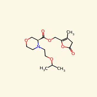 CC1=C(COC(=O)[C@@H]2COCCN2CCOC(C)C)OC(=O)C1